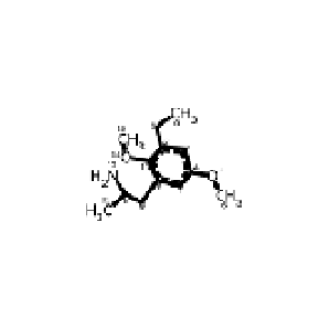 CCc1cc(OC)cc(CC(C)N)c1OC